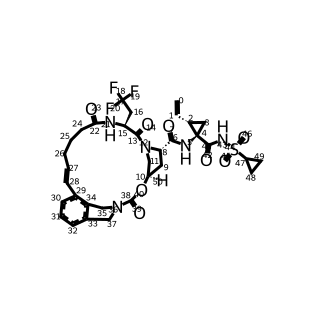 C=C[C@@H]1C[C@]1(NC(=O)[C@@H]1C[C@@H]2CN1C(=O)[C@H](CC(F)(F)F)NC(=O)CCC/C=C/c1cccc3c1CN(C3)C(=O)O2)C(=O)NS(=O)(=O)C1CC1